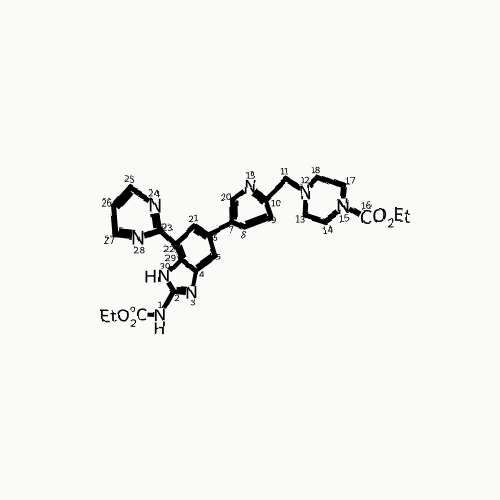 CCOC(=O)Nc1nc2cc(-c3ccc(CN4CCN(C(=O)OCC)CC4)nc3)cc(-c3ncccn3)c2[nH]1